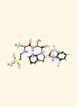 CC(C)[C@H](NC(=O)[C@H](C)NCCS(C)(=O)=O)C(=O)N1c2ncccc2C[C@H]1C(=O)Nc1c(F)cccc1F